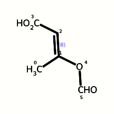 C/C(=C\C(=O)O)OC=O